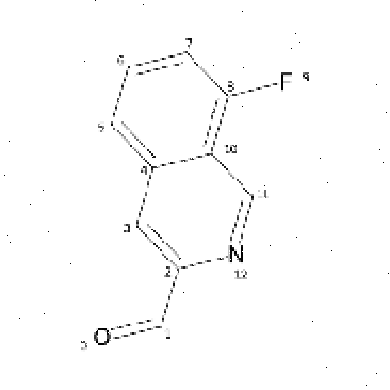 O=Cc1cc2cccc(F)c2cn1